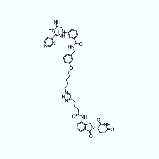 C[C@@H](NC(=O)c1cccc(NCC(=N)N(C)C(=N)c2ccncn2)c1)c1cccc(OCCCCCn2cc(CCCC(=O)Nc3cccc4c3CN(C3CCC(=O)NC3=O)C4=O)nn2)c1